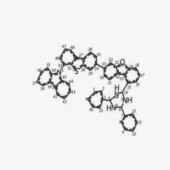 c1ccc(C2NC(c3ccccc3)NC(c3cccc4oc5cc(-c6ccc7c(c6)sc6c(-n8c9ccccc9c9ccccc98)cccc67)ccc5c34)N2)cc1